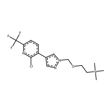 C[Si](C)(C)CCOCn1cc(-c2ccc(C(F)(F)F)nc2Cl)cn1